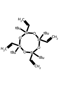 C=C[Si]1(C(C)(C)C)O[Si](C=C)(C(C)(C)C)O[Si](C=C)(C(C)(C)C)O[Si](C=C)(C(C)(C)C)O1